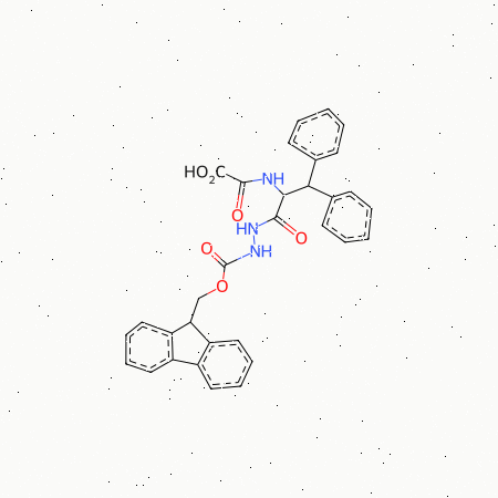 O=C(NNC(=O)C(NC(=O)C(=O)O)C(c1ccccc1)c1ccccc1)OCC1c2ccccc2-c2ccccc21